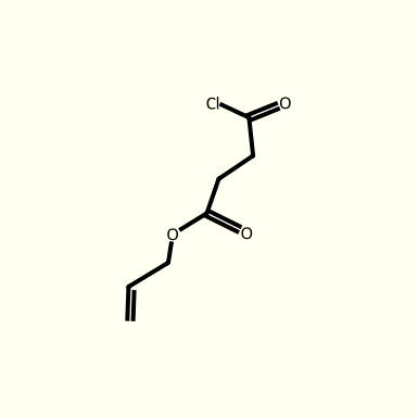 C=CCOC(=O)CCC(=O)Cl